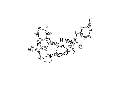 C[C@H](NC(=O)Cc1cccc(F)c1)C(=O)NC1N=C(c2ccccc2F)c2cc(Br)ccc2N(C)C1=O